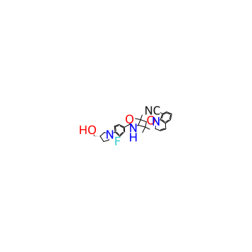 CC1(C)C(NC(=O)c2ccc(N3CC[C@H](CO)C3)c(F)c2)C(C)(C)C1ON1CC=Cc2cccc(C#N)c21